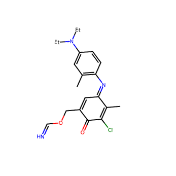 CCN(CC)c1ccc(N=C2C=C(COC=N)C(=O)C(Cl)=C2C)c(C)c1